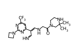 CC1(C)CN(C(=O)CN/C=C(\C=N)c2cc(C(F)(F)F)nc(N3CCC3)n2)CCN1